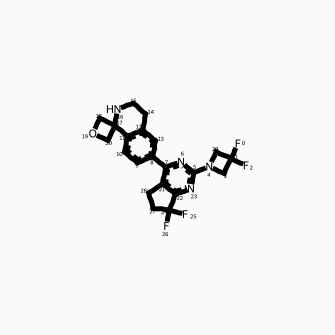 FC1(F)CN(c2nc(-c3ccc4c(c3)CCNC43COC3)c3c(n2)C(F)(F)CC3)C1